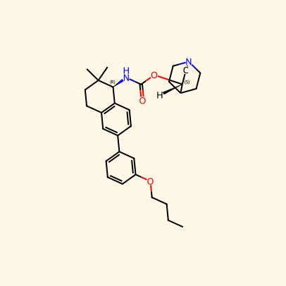 CCCCOc1cccc(-c2ccc3c(c2)CCC(C)(C)[C@H]3NC(=O)O[C@@H]2CN3CCC2CC3)c1